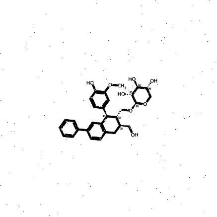 COc1cc([C@@H]2c3cc(-c4ccccc4)ccc3C[C@H](CO)[C@H]2CO[C@@H]2OC[C@@H](O)[C@H](O)[C@H]2O)ccc1O